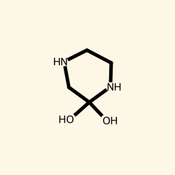 OC1(O)CNCCN1